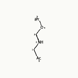 CC(=O)CNCOC(C)C